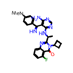 CNc1ccc(C(=N)c2c(N)ncnc2NC(C)c2nc3cccc(F)c3c(=O)n2C2CCC2)cc1